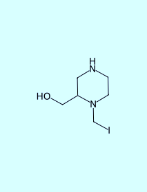 OCC1CNCCN1CI